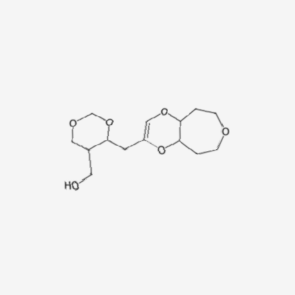 OCC1COCOC1CC1=COC2CCOCCC2O1